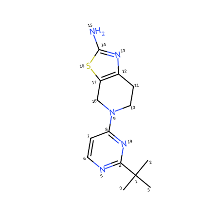 CC(C)(C)c1nccc(N2CCc3nc(N)sc3C2)n1